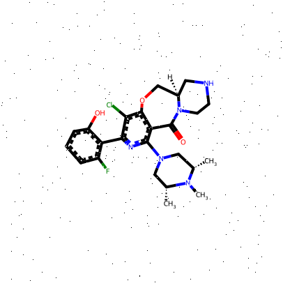 C[C@@H]1CN(c2nc(-c3c(O)cccc3F)c(Cl)c3c2C(=O)N2CCNC[C@@H]2CO3)C[C@H](C)N1C